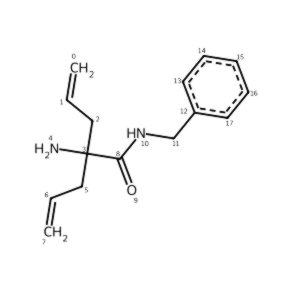 C=CCC(N)(CC=C)C(=O)NCc1ccccc1